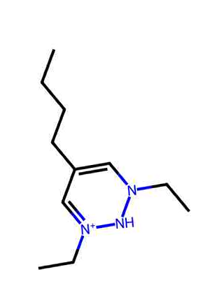 CCCCC1=CN(CC)N[N+](CC)=C1